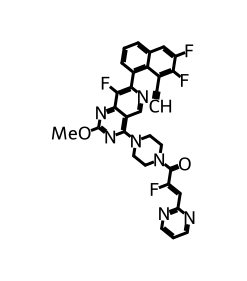 C#Cc1c(F)c(F)cc2cccc(-c3ncc4c(N5CCN(C(=O)/C(F)=C/c6ncccn6)CC5)nc(OC)nc4c3F)c12